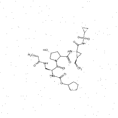 C=CC(=O)NC[C@H](NC(=O)OC1CCCC1)C(=O)N1C[C@H](O)CC1C(=O)N[C@]1(C(=O)NS(=O)(=O)C2CC2)C[C@H]1C=C